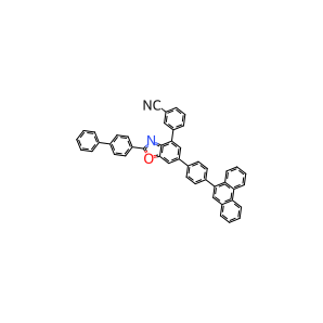 N#Cc1cccc(-c2cc(-c3ccc(-c4cc5ccccc5c5ccccc45)cc3)cc3oc(-c4ccc(-c5ccccc5)cc4)nc23)c1